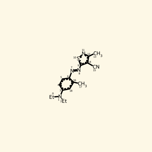 CCN(CC)c1ccc(N=Nc2snc(C)c2C#N)c(C)c1